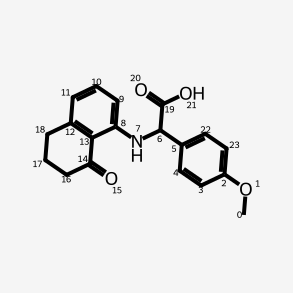 COc1ccc(C(Nc2cccc3c2C(=O)CCC3)C(=O)O)cc1